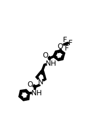 O=C(CN1CC2C(CNC(=O)c3cccc(OC(F)(F)F)c3)C2C1)Nc1ccccc1